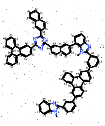 Cn1c(-c2cccc(-c3ccc4c5ccc(-c6cccc(-c7nc8cccc(-c9ccc%10ccc(-c%11nc(-c%12ccc%13ccccc%13c%12)nc(-c%12ccc%13c%14ccccc%14c%14ccccc%14c%13c%12)n%11)cc%10c9)c8n7C)c6)cc5c5ccccc5c4c3)c2)nc2ccccc21